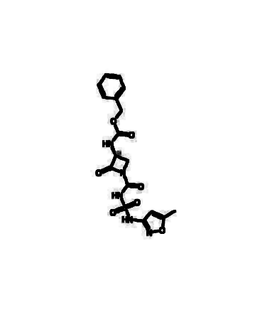 Cc1cc(NS(=O)(=O)NC(=O)N2C[C@H](NC(=O)OCc3ccccc3)C2=O)no1